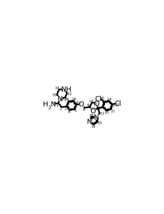 NC(Cc1ccc(OCC2COC(Cn3ccnc3)(c3ccc(Cl)cc3Cl)O2)cc1)N1CCNCC1